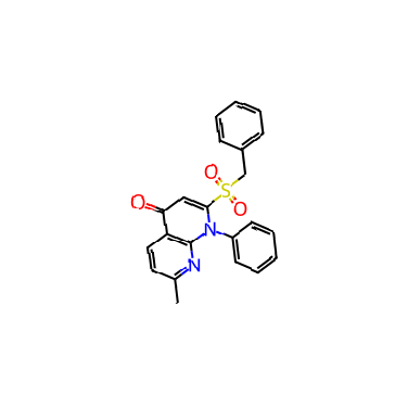 Cc1ccc2c(=O)cc(S(=O)(=O)Cc3ccccc3)n(-c3ccccc3)c2n1